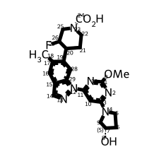 COc1nc(N2CC[C@H](O)C2)cc(-n2ncc3cc(C)c(C4CCN(C(=O)O)CC4F)cc32)n1